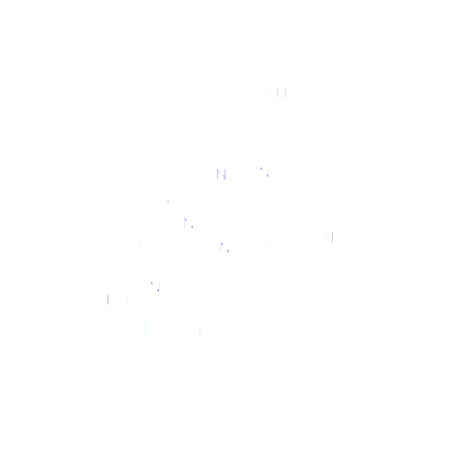 CC[S+]([O-])c1c(-c2nc3cc(C(F)(F)F)n(C)c(=O)c3n2C)nc2n1CCC(C)C2